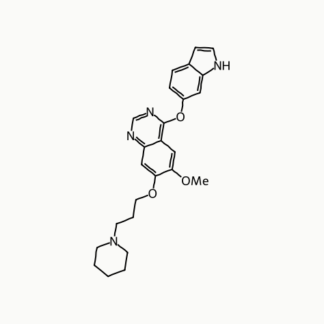 COc1cc2c(Oc3ccc4cc[nH]c4c3)ncnc2cc1OCCCN1CCCCC1